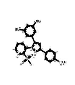 CC(C)(C)c1cc(-c2cc(-c3ccc(C(=O)O)cc3)nn2-c2cccnc2S(C)(=O)=O)cc(C(C)(C)C)c1